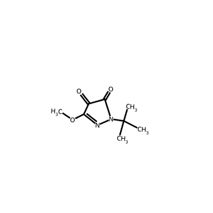 COC1=NN(C(C)(C)C)C(=O)C1=O